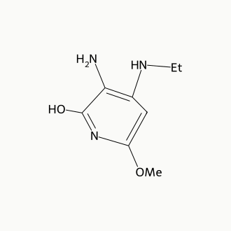 CCNc1cc(OC)nc(O)c1N